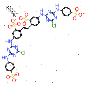 O=S(=O)([O-])c1ccc(Nc2nc(Cl)nc(Nc3ccc(C=Cc4ccc(Nc5nc(Cl)nc(Nc6ccc(S(=O)(=O)[O-])cc6)n5)cc4S(=O)(=O)[O-])c(S(=O)(=O)[O-])c3)n2)cc1.[K+].[K+].[K+].[K+]